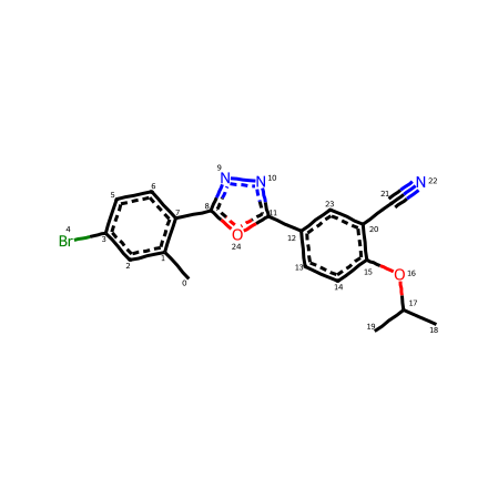 Cc1cc(Br)ccc1-c1nnc(-c2ccc(OC(C)C)c(C#N)c2)o1